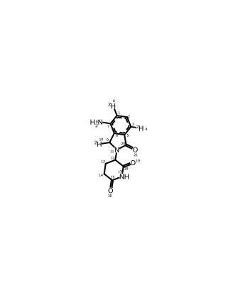 [2H]c1cc([2H])c2c(c1N)C([2H])N(C1CCC(=O)NC1=O)C2=O